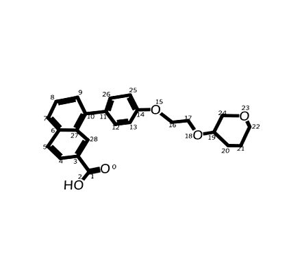 O=C(O)c1ccc2cccc(-c3ccc(OCCOC4CCCOC4)cc3)c2c1